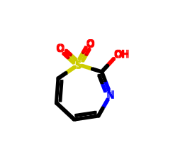 O=S1(=O)C=CC=CN=C1O